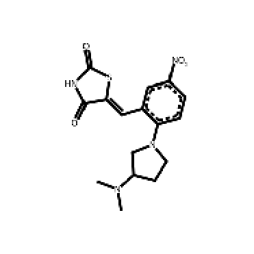 CN(C)C1CCN(c2ccc([N+](=O)[O-])cc2/C=C2\SC(=O)NC2=O)C1